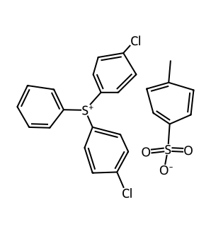 Cc1ccc(S(=O)(=O)[O-])cc1.Clc1ccc([S+](c2ccccc2)c2ccc(Cl)cc2)cc1